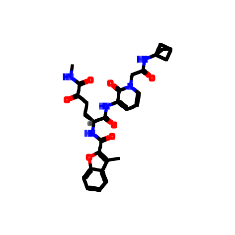 CNC(=O)C(=O)CC[C@H](NC(=O)c1oc2ccccc2c1C)C(=O)Nc1cccn(CC(=O)NC23CC(C2)C3)c1=O